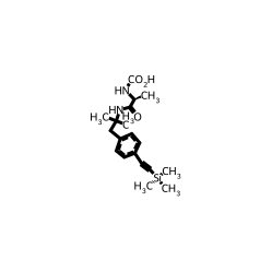 C[C@H](NC(=O)O)C(=O)NC(C)(C)Cc1ccc(C#C[Si](C)(C)C)cc1